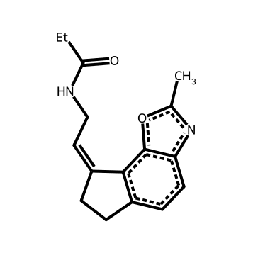 CCC(=O)NC/C=C1/CCc2ccc3nc(C)oc3c21